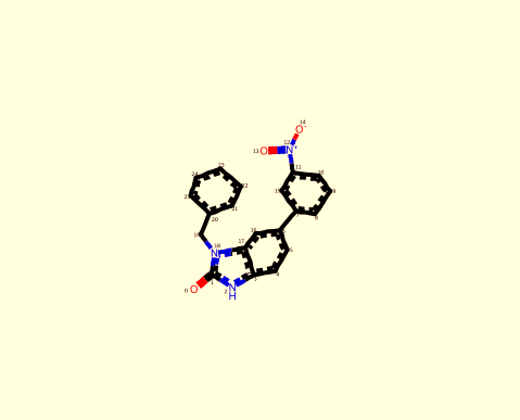 O=c1[nH]c2ccc(-c3cccc([N+](=O)[O-])c3)cc2n1Cc1ccccc1